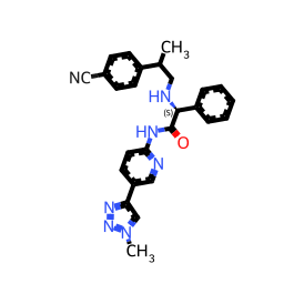 CC(CN[C@H](C(=O)Nc1ccc(-c2cn(C)nn2)cn1)c1ccccc1)c1ccc(C#N)cc1